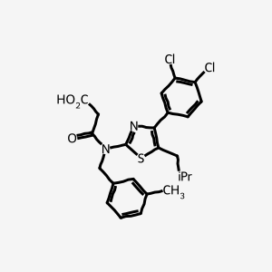 Cc1cccc(CN(C(=O)CC(=O)O)c2nc(-c3ccc(Cl)c(Cl)c3)c(CC(C)C)s2)c1